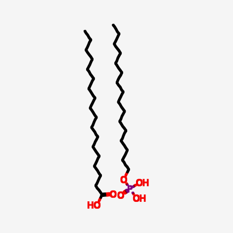 CCCCCCCCCCCCCCCCCC(=O)O.CCCCCCCCCCCCCCCCOP(=O)(O)O